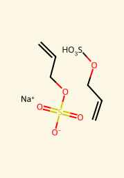 C=CCOS(=O)(=O)O.C=CCOS(=O)(=O)[O-].[Na+]